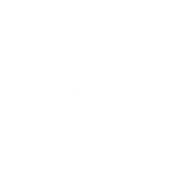 O=C(NO)c1cccc(Nc2nc3cc([N+](=O)[O-])ccc3[nH]2)c1